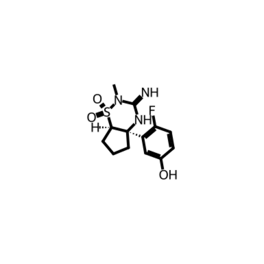 CN1C(=N)N[C@@]2(c3cc(O)ccc3F)CCC[C@H]2S1(=O)=O